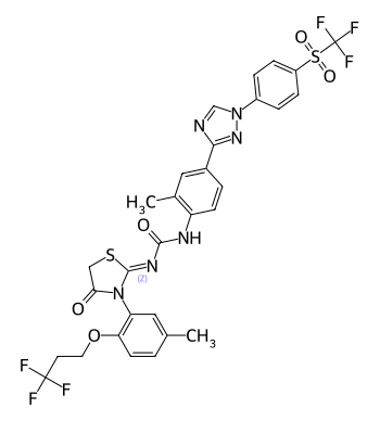 Cc1ccc(OCCC(F)(F)F)c(N2C(=O)CS/C2=N\C(=O)Nc2ccc(-c3ncn(-c4ccc(S(=O)(=O)C(F)(F)F)cc4)n3)cc2C)c1